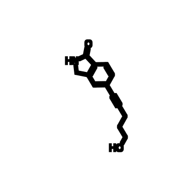 O=C1NCc2cc(C#CCCCO)ccc21